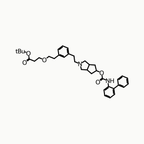 CC(C)(C)OC(=O)CCOCCc1cccc(CCN2CC3CC(OC(=O)Nc4ccccc4-c4ccccc4)CC3C2)c1